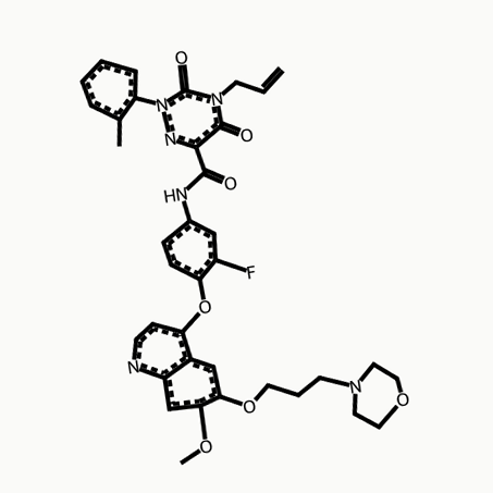 C=CCn1c(=O)c(C(=O)Nc2ccc(Oc3ccnc4cc(OC)c(OCCCN5CCOCC5)cc34)c(F)c2)nn(-c2ccccc2C)c1=O